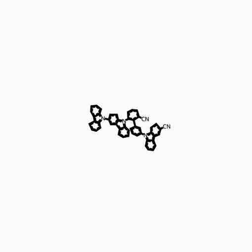 N#Cc1ccc2c(c1)c1ccccc1n2-c1cccc(-c2c(C#N)cccc2-n2c3ccccc3c3cc(-n4c5ccccc5c5ccccc54)ccc32)c1